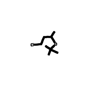 CC(CCCl)OC(C)(C)C